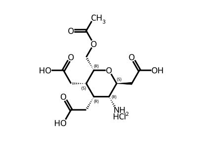 CC(=O)OC[C@@H]1O[C@@H](CC(=O)O)[C@H](N)[C@H](CC(=O)O)[C@@H]1CC(=O)O.Cl